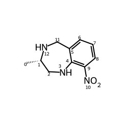 C[C@H]1CNc2c(cccc2[N+](=O)[O-])CN1